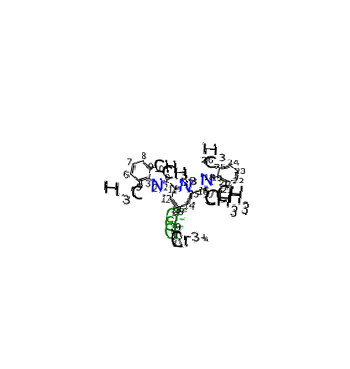 CC(=Nc1c(C)cccc1C)c1cccc(C(C)=Nc2c(C)cccc2C)n1.[Cl-].[Cl-].[Cl-].[Cr+3]